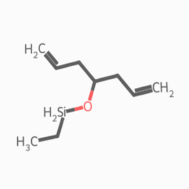 C=CCC(CC=C)O[SiH2]CC